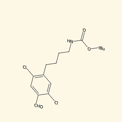 CC(C)(C)OC(=O)NCCCCc1cc(Cl)c(C=O)cc1Cl